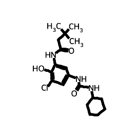 CC(C)(C)CC(=O)Nc1cc(NC(=O)NC2CCCCC2)cc(Cl)c1O